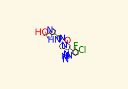 CC1(O)CCc2c(-c3cnc(C4CCC5CC(c6c(-n7cnnn7)ccc(Cl)c6F)=CC(=O)N54)[nH]3)ccnc21